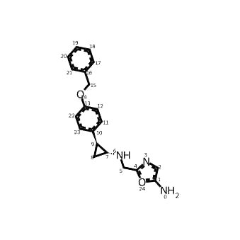 Nc1cnc(CN[C@@H]2C[C@H]2c2ccc(OCc3ccccc3)cc2)o1